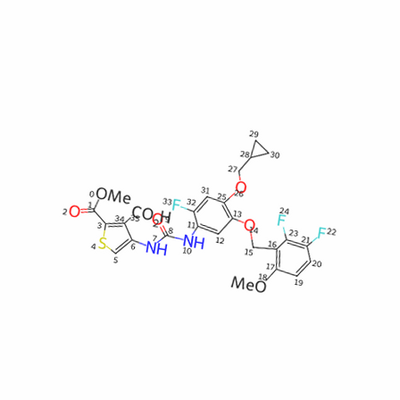 COC(=O)c1scc(NC(=O)Nc2cc(OCc3c(OC)ccc(F)c3F)c(OCC3CC3)cc2F)c1C(=O)O